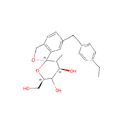 CCc1ccc(Cc2ccc3c(c2)[C@]2(OC3)O[C@H](CO)C(O)[C@H](O)C2C)cc1